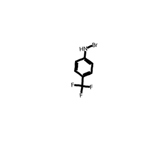 FC(F)(F)c1ccc(NBr)cc1